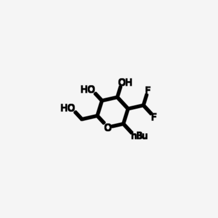 CCCCC1OC(CO)C(O)C(O)C1C(F)F